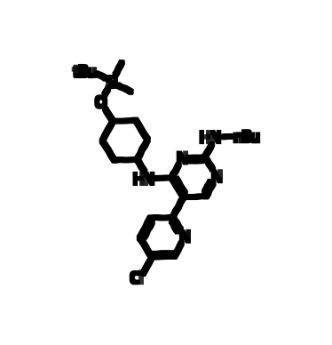 CCCCNc1ncc(-c2ccc(Cl)cn2)c(NC2CCC(O[Si](C)(C)C(C)(C)C)CC2)n1